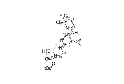 C[C@@H]1CN(c2cc(C3CC3)c(Nc3ncc(C(F)(F)F)c(Cl)n3)cn2)CCN1C(=O)OC(C)(C)C